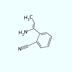 CC=C(N)c1ccccc1C#N